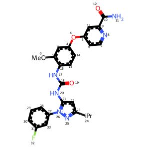 COc1cc(Oc2ccnc(C(N)=O)c2)ccc1NC(=O)Nc1cc(C(C)C)nn1-c1cccc(F)c1